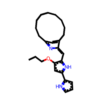 CCCOc1cc(-c2ccc[nH]2)[nH]c1C=C1N=C2C=C1CCCCCCCCC2